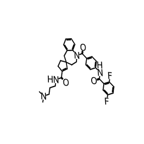 CN(C)CCCNC(=O)C1=CC2(CC1)CCN(C(=O)c1ccc(NC(=O)c3cc(F)ccc3F)cc1)c1ccccc1C2